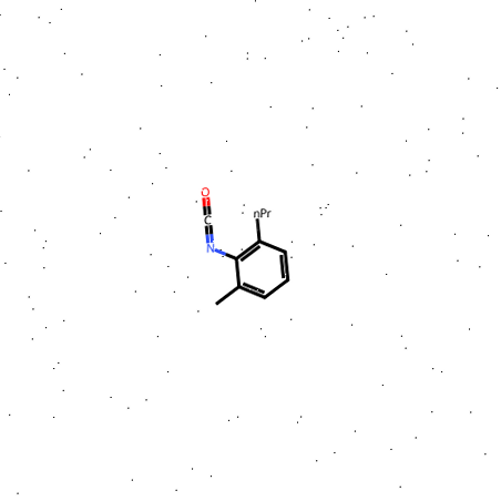 CCCc1cccc(C)c1N=C=O